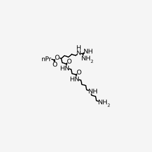 CCCC(=O)OC(CCCCNC(=N)N)CC(=O)NCCC(=O)NCCCCNCCCN